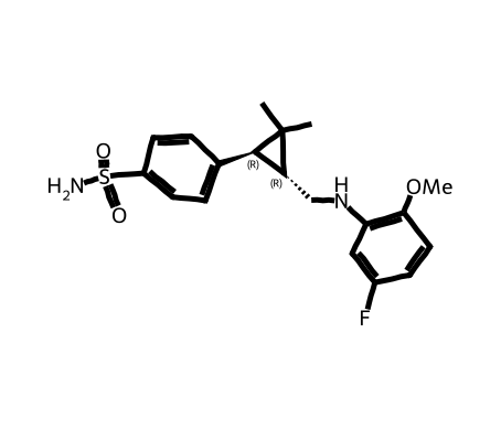 COc1ccc(F)cc1NC[C@@H]1[C@@H](c2ccc(S(N)(=O)=O)cc2)C1(C)C